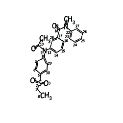 CCS(=O)(=O)c1ccc(N(C(C)=O)c2cccc(C(=O)N(C)c3ccccc3)c2)cc1